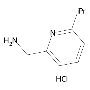 CC(C)c1cccc(CN)n1.Cl